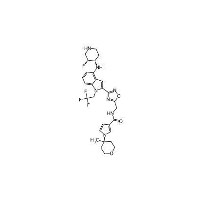 CC1(n2ccc(C(=O)NCc3nc(-c4cc5c(N[C@@H]6CCNC[C@@H]6F)cccc5n4CC(F)(F)F)no3)c2)CCOCC1